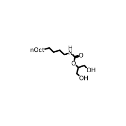 CCCCCCCCCCCCNC(=O)OC(CO)CO